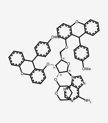 COc1ccc(C2c3ccccc3Oc3cccc(OC[C@H]4O[C@@H](n5cnc6c(N)ncnc65)[C@H](OC5CCCCO5)[C@@H]4Oc4cccc5c4C(c4ccc(OC)cc4)c4ccccc4O5)c32)cc1